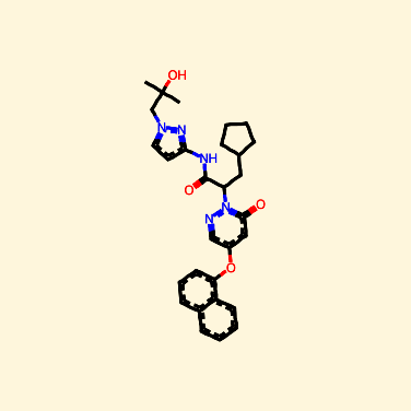 CC(C)(O)Cn1ccc(NC(=O)C(CC2CCCC2)n2ncc(Oc3cccc4ccccc34)cc2=O)n1